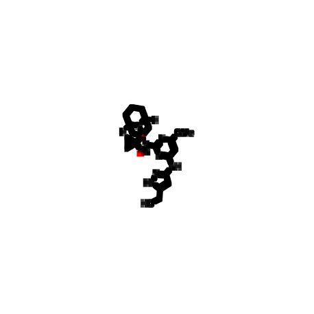 COc1cc(Nc2cc(CO)[nH]n2)nc(N(C)[C@H]2C[C@H]3CCC[C@@H](C2)N3CC2(C#N)CC2)n1